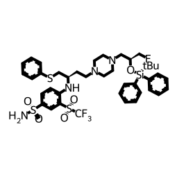 CC(C)(C)[Si](O[C@H](CF)CN1CCN(CC[C@H](CSc2ccccc2)Nc2ccc(S(N)(=O)=O)cc2S(=O)(=O)C(F)(F)F)CC1)(c1ccccc1)c1ccccc1